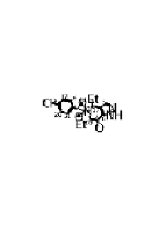 CC[C@@H]1c2cn[nH]c2C(=O)[C@H](CC)N1S(=O)(=O)c1ccc(Cl)cc1